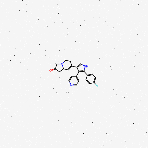 O=C1CC2C=C(c3c[nH]c(-c4ccc(F)cc4)c3-c3ccncc3)CCN2C1